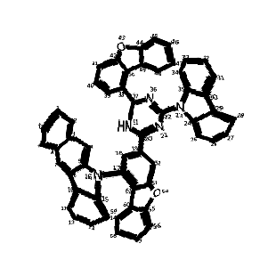 c1ccc2cc3c(cc2c1)c1ccccc1n3-c1cc(C2=NC(n3c4ccccc4c4ccccc43)=NC(c3cccc4oc5ccccc5c34)N2)cc2oc3ccccc3c12